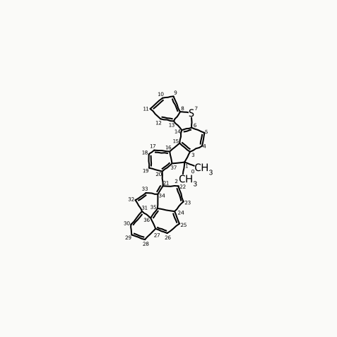 CC1(C)c2ccc3sc4ccccc4c3c2-c2cccc(-c3ccc4ccc5cccc6ccc3c4c56)c21